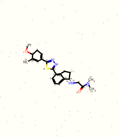 CC(C)OC1CC=C(c2nnc(-c3cccc4c3CC[C@@H]4NCC(=O)N(C)C)s2)C=C1C#N